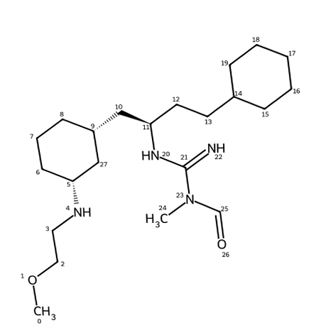 COCCN[C@@H]1CCC[C@H](C[C@@H](CCC2CCCCC2)NC(=N)N(C)C=O)C1